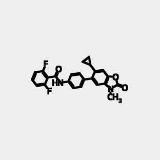 Cn1c(=O)oc2cc(C3CC3)c(-c3ccc(NC(=O)c4c(F)cccc4F)cc3)cc21